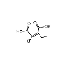 CC/C(C(=O)O)=C(\Cl)C(=O)O